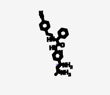 CN(N)/C=C(\N)c1ccc(NC(=O)C(NCCc2ccc(C#N)cc2)c2ccccc2)nc1